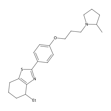 CCC1CCCc2sc(-c3ccc(OCCCN4CCCC4C)cc3)nc21